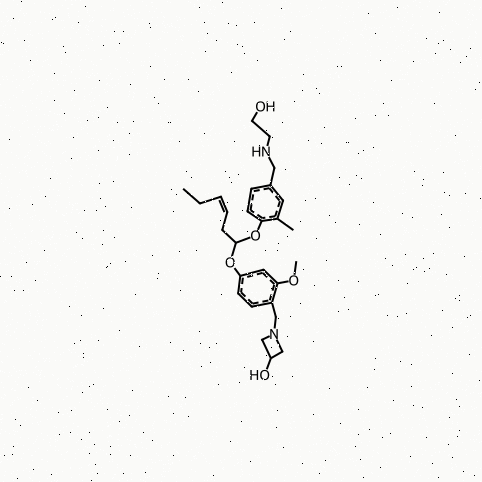 CC/C=C\CC(Oc1ccc(CN2CC(O)C2)c(OC)c1)Oc1ccc(CNCCO)cc1C